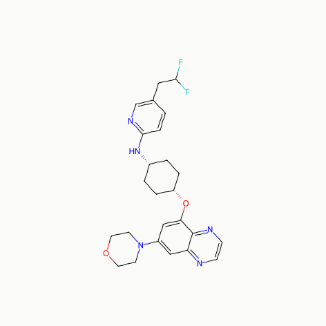 FC(F)Cc1ccc(N[C@H]2CC[C@@H](Oc3cc(N4CCOCC4)cc4nccnc34)CC2)nc1